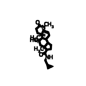 CN1C(=O)CC[C@@]2(C)C1=CCC1C3CCC(C(=O)NCC4CC4)[C@@]3(C)C[C@H](O)C12